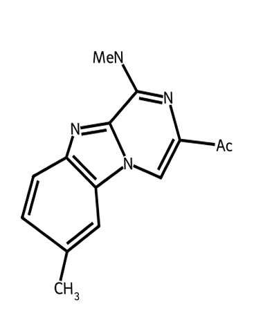 CNc1nc(C(C)=O)cn2c1nc1ccc(C)cc12